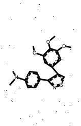 COc1cc(-c2csnc2-c2ccc(N(C)C)cc2)cc(OC)c1OC